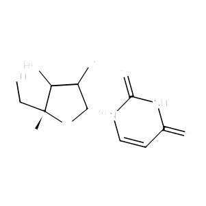 C[C@]1(CO)O[C@@H](n2ccc(=O)[nH]c2=O)C(O)C1O